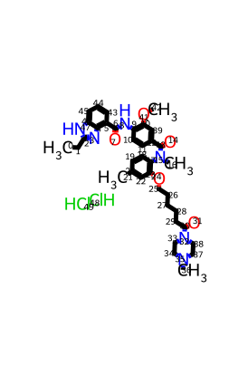 CCc1nc2c(C(=O)Nc3ccc(C(=O)N(C)c4ccc(C)cc4OCCCCCC(=O)N4CCN(C)CC4)cc3OC)cccc2[nH]1.Cl.Cl